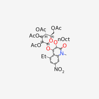 CCCCCCCCOc1c(O[C@H]2O[C@H](COC(C)=O)[C@@H](OC(C)=O)[C@H](OC(C)=O)[C@@H]2OC(C)=O)c2c(CC)cc([N+](=O)[O-])cc2n(C)c1=O